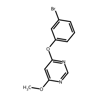 COc1cc(Oc2cccc(Br)c2)ncn1